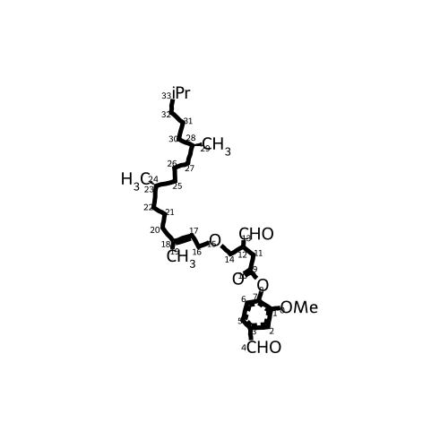 COc1cc(C=O)ccc1OC(=O)CC(C=O)COC/C=C(\C)CCC[C@H](C)CCC[C@H](C)CCCC(C)C